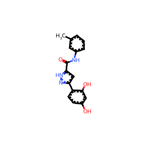 Cc1cccc(NC(=O)c2cc(-c3ccc(O)cc3O)n[nH]2)c1